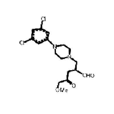 COCC(=O)CC(C=O)CN1CCN(c2cc(Cl)cc(Cl)c2)CC1